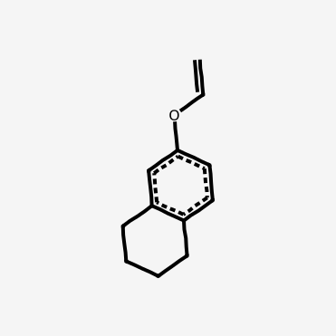 C=COc1ccc2c(c1)CCCC2